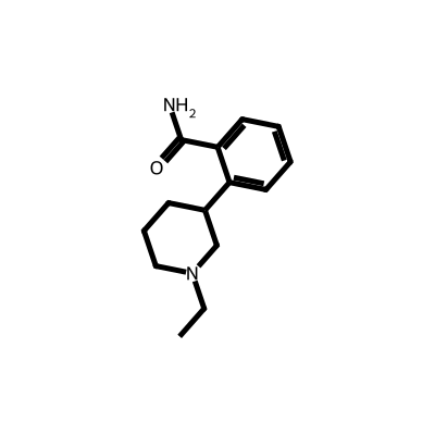 CCN1CCCC(c2ccccc2C(N)=O)C1